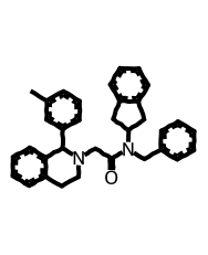 Cc1cccc(C2c3ccccc3CCN2CC(=O)N(Cc2ccccc2)C2Cc3ccccc3C2)c1